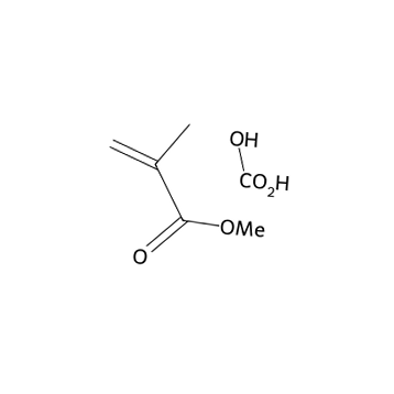 C=C(C)C(=O)OC.O=C(O)O